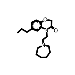 CCCc1ccc2c(c1)N(CCN1CCCCCC1)C(=O)CO2